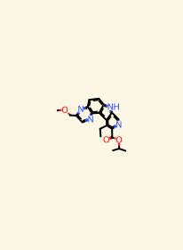 CCc1c(C(=O)OC(C)C)ncc2[nH]c3ccc4nc(COC)cnc4c3c12